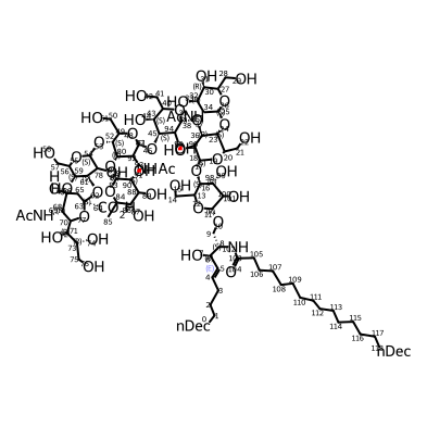 CCCCCCCCCCCCC/C=C/[C@@H](O)[C@H](CO[C@@H]1OC(CO)[C@@H](O[C@@H]2OC(CO)[C@H](O[C@@H]3OC(CO)[C@H](O)[C@H](O)C3NC(C)=O)[C@H](O[C@H]3OC(CO)[C@H](O)[C@H](O[C@@H]4OC(CO)[C@@H](O[C@@H]5OC(CO)[C@H](O)[C@H](O[C@]6(C(=O)O)CC(O)[C@@H](NC(C)=O)C([C@H](O)[C@H](O)CO)O6)C5O)[C@H](O[C@H]5OC(C)[C@@H](O)C(O)[C@@H]5O)C4NC(C)=O)C3O)C2O)[C@H](O)C1O)NC(=O)CCCCCCCCCCCCCCCCCCCCCCC